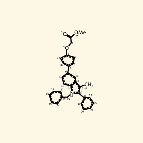 COC(=O)COc1ccc(-c2ccc3c(c2)c(C)c(-c2ccccc2)n3Cc2ccccc2)cc1